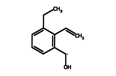 C=Cc1c([CH]O)cccc1CC